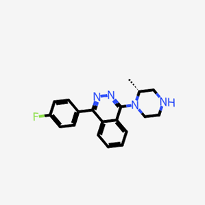 C[C@@H]1CNCCN1c1nnc(-c2ccc(F)cc2)c2ccccc12